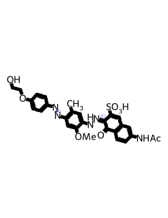 COc1cc(/N=N/c2ccc(OCCO)cc2)c(C)cc1N/N=C1\C(=O)c2ccc(NC(C)=O)cc2C=C1S(=O)(=O)O